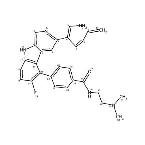 C=C/C=C\C(=C/N)c1cc2c(cn1)[nH]c1ccc(F)c(-c3ccc(C(=O)NCCN(C)C)cc3)c12